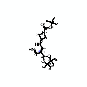 CC(C)(C)OC(=O)N1CC(N/C=C(\C=N)B2OC(C)(C)C(C)(C)O2)C1